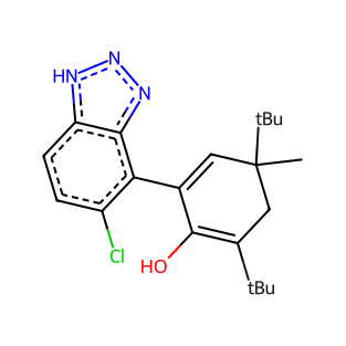 CC(C)(C)C1=C(O)C(c2c(Cl)ccc3[nH]nnc23)=CC(C)(C(C)(C)C)C1